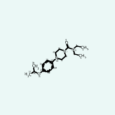 CCN(CC)C(=O)N1CCN(c2ccc(OC(C)C)cc2)CC1